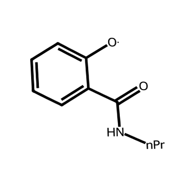 CCCNC(=O)c1ccccc1[O]